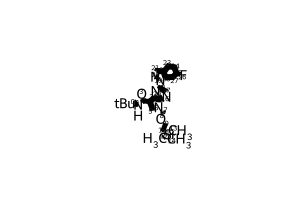 CC(C)(C)NC(=O)c1cn(COCC[Si](C)(C)C)c2ncc(-n3ncc4ccc(F)cc43)nc12